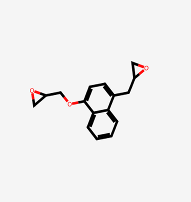 c1ccc2c(OCC3CO3)ccc(CC3CO3)c2c1